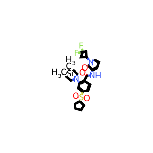 C[Si]1(C)CCN(c2cc(S(=O)(=O)C3CCCC3)ccc2C(=O)Nc2cccn(C3CC(F)(F)C3)c2=O)CC1